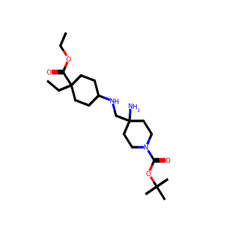 CCOC(=O)C1(CC)CCC(NCC2(N)CCN(C(=O)OC(C)(C)C)CC2)CC1